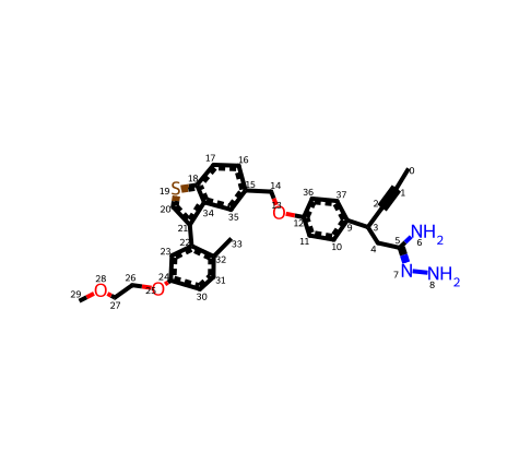 CC#CC(C/C(N)=N/N)c1ccc(OCc2ccc3scc(-c4cc(OCCOC)ccc4C)c3c2)cc1